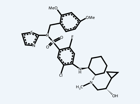 COc1ccc(CN(c2nccs2)S(=O)(=O)c2cc(Cl)c(N[C@H]3CCCC[C@@H]3N(C)C[C@@H](O)C3CC3)cc2F)c(OC)c1